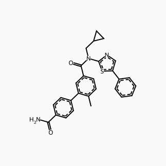 Cc1ccc(C(=O)N(CC2CC2)c2ncc(-c3ccccc3)s2)cc1-c1ccc(C(N)=O)cc1